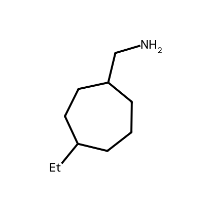 CCC1CCCC(CN)CC1